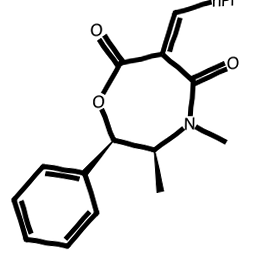 CCC/C=C1/C(=O)O[C@H](c2ccccc2)[C@H](C)N(C)C1=O